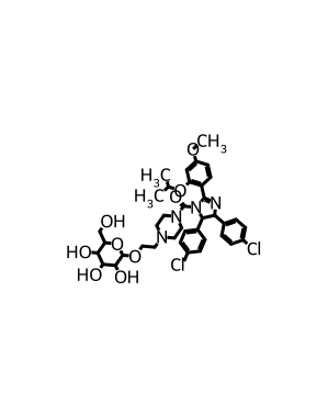 COc1ccc(C2=NC(c3ccc(Cl)cc3)C(c3ccc(Cl)cc3)N2C(=O)N2CCN(CCOC3OC(CO)C(O)C(O)C3O)CC2)c(OC(C)C)c1